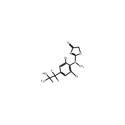 CCc1cc(C(F)(F)C(O)(F)C(F)(F)F)cc(CC)c1N(C)C1=NC(=O)CO1